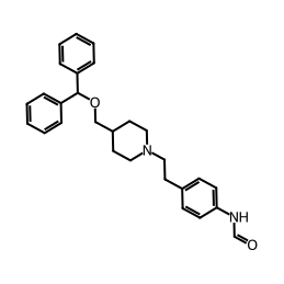 O=CNc1ccc(CCN2CCC(COC(c3ccccc3)c3ccccc3)CC2)cc1